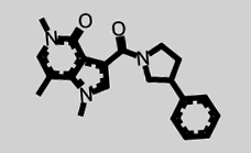 Cc1cn(C)c(=O)c2c(C(=O)N3CCC(c4ccccc4)C3)cn(C)c12